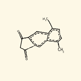 Cc1ccc(C)c2cc3c(cc12)C(=O)CC3=O